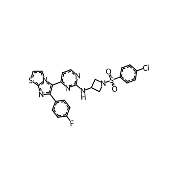 O=S(=O)(c1ccc(Cl)cc1)N1CC(Nc2nccc(-c3c(-c4ccc(F)cc4)nc4sccn34)n2)C1